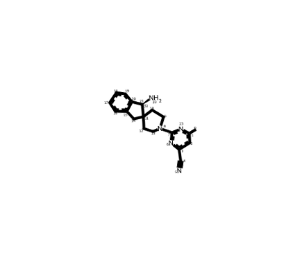 Cc1cc(C#N)nc(N2CCC3(CC2)Cc2ccccc2[C@H]3N)n1